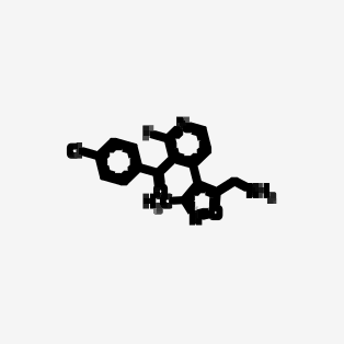 Cc1noc(CN)c1-c1ccnc(F)c1C(=O)c1ccc(Cl)cc1